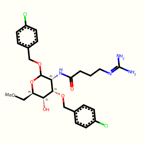 COC[C@H]1OC(OCc2ccc(Cl)cc2)[C@H](NC(=O)CCCN=C(N)N)[C@H](OCc2ccc(Cl)cc2)[C@@H]1O